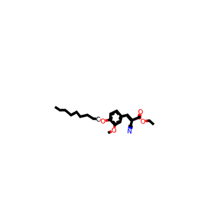 CCCCCCCCCOc1ccc(/C=C(\C#N)C(=O)OCC)cc1OC